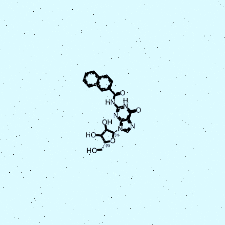 O=C(Nc1nc2c(ncn2[C@@H]2O[C@H](CO)C(O)C2O)c(=O)[nH]1)c1ccc2ccccc2c1